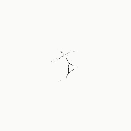 CC1OC1P(=O)(O)O